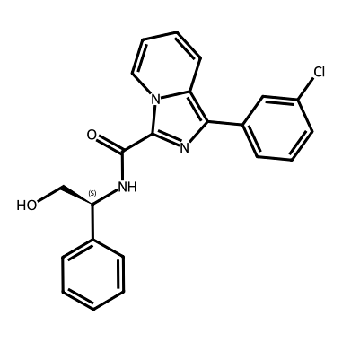 O=C(N[C@H](CO)c1ccccc1)c1nc(-c2cccc(Cl)c2)c2ccccn12